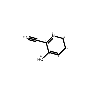 N#CC1=NCCC=C1O